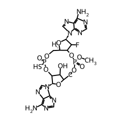 COP1(=O)OCC2O[C@@H](n3cnc4c(N)ncnc43)C(OP(=O)(S)OC[C@H]3O[C@@H](n4cnc5c(N)ncnc54)C(F)C3O1)C2O